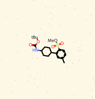 COS(=O)(=O)c1ccc(C)cc1C1CCC(NC(=O)OC(C)(C)C)CC1